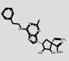 C=C[C@]1(C(=O)NC)C[C@@H](n2cnc3c(NCCc4ccccc4)nc(I)nc32)C(O)C1O